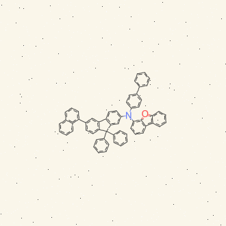 c1ccc(-c2ccc(N(c3ccc4c(c3)C(c3ccccc3)(c3ccccc3)c3ccc(-c5cccc6ccccc56)cc3-4)c3cccc4c3oc3ccccc34)cc2)cc1